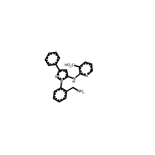 NCc1ccccc1-n1nc(-c2ccccc2)cc1Nc1ncccc1C(=O)O